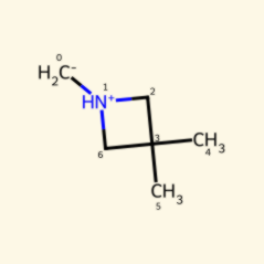 [CH2-][NH+]1CC(C)(C)C1